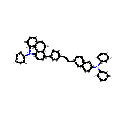 C(=C\c1ccc2cc(N(c3ccccc3)c3ccccc3)ccc2c1)/c1ccc(-c2ccc3c4c2ccc2cccc(c24)n3-c2ccccc2)cc1